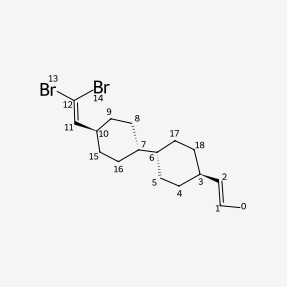 CC=C[C@H]1CC[C@H]([C@H]2CC[C@H](C=C(Br)Br)CC2)CC1